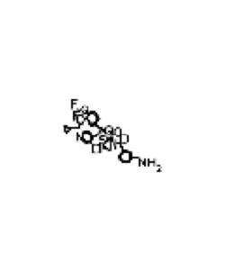 NCc1cccc(C(=O)N2CCS[C@H]2C(=O)O[C@@H](Cc2ccncc2Cl)c2ccc(OC(F)F)c(OCC3CC3)c2)c1